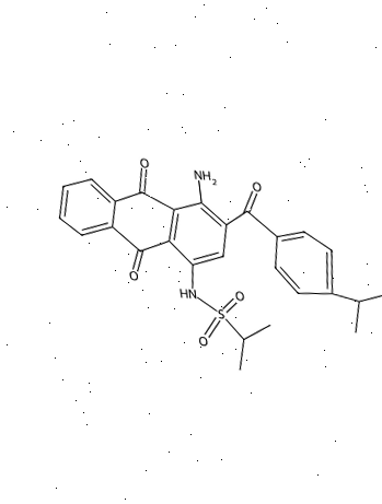 CC(C)c1ccc(C(=O)c2cc(NS(=O)(=O)C(C)C)c3c(c2N)C(=O)c2ccccc2C3=O)cc1